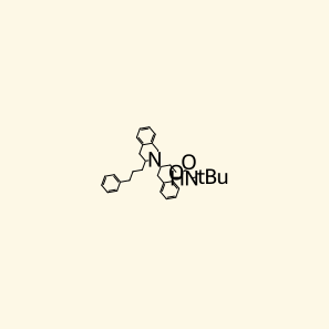 CC(C)(C)NC(=O)OCC(Cc1ccccc1)N1Cc2ccccc2CC1CCCc1ccccc1